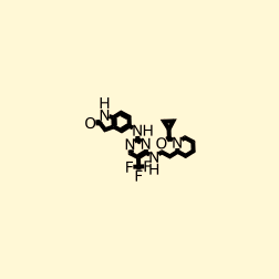 O=C1Cc2cc(Nc3ncc(C(F)(F)F)c(NCCC4CCCCN4C(=O)C4CC4)n3)ccc2N1